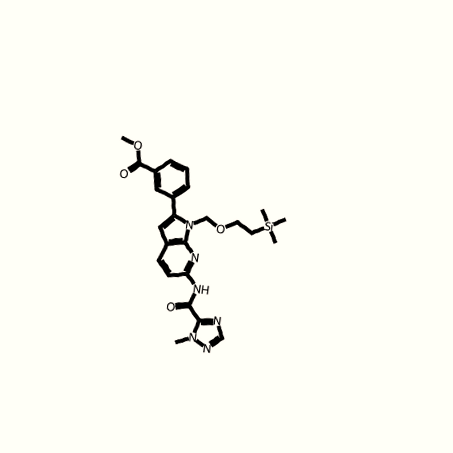 COC(=O)c1cccc(-c2cc3ccc(NC(=O)c4ncnn4C)nc3n2COCC[Si](C)(C)C)c1